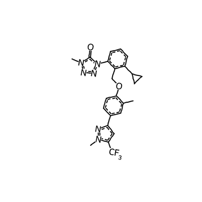 Cc1cc(-c2cc(C(F)(F)F)n(C)n2)ccc1OCc1c(C2CC2)cccc1-n1nnn(C)c1=O